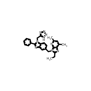 CCc1nc2c(C)cc(C)nc2n1Cc1ccc2c(c1)nc(-c1ccccc1)n2Cc1nnn[nH]1